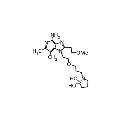 COCCc1nc2c(N)nc(C)c(C)c2n1CCOCCCN1CCCS1(O)O